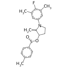 C=C1C(OS(=O)c2ccc(C)cc2)CCN1c1cc(C)c(F)c(C)c1